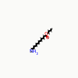 CCCCOC(=O)CCCCCCCCCCCN